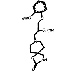 COc1ccccc1OCC(O)CN1CCC2(CC1)CNC(=O)O2.Cl